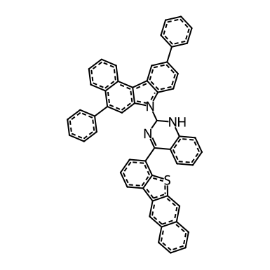 c1ccc(-c2ccc3c(c2)c2c4ccccc4c(-c4ccccc4)cc2n3C2N=C(c3cccc4c3sc3cc5ccccc5cc34)c3ccccc3N2)cc1